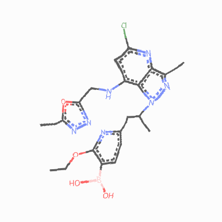 CCOc1nc(CC(C)n2nc(C)c3nc(Cl)cc(NCc4nnc(C)o4)c32)ccc1B(O)O